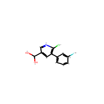 OC(O)c1cnc(Cl)c(-c2cccc(F)c2)c1